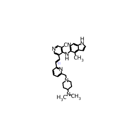 Cc1c(Nc2c(C#N)cncc2/C=C/c2cccc(CN3CCC(N(C)C)CC3)n2)ccc2[nH]ccc12